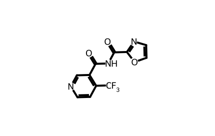 O=C(NC(=O)c1cnccc1C(F)(F)F)c1ncco1